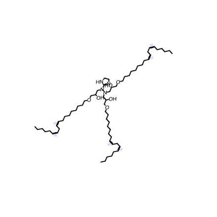 CCCCC/C=C\C/C=C\CCCCCCCCOCC(O)CN(CC(O)COCCCCCCCC/C=C\C/C=C\CCCCC)N(CC(O)COCCCCCCCC/C=C\C/C=C\CCCCC)C1=NCCN1